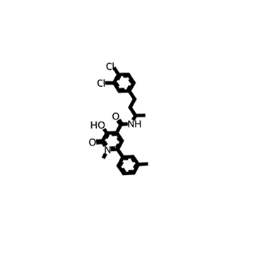 Cc1cccc(-c2cc(C(=O)NC(C)CCc3ccc(Cl)c(Cl)c3)c(O)c(=O)n2C)c1